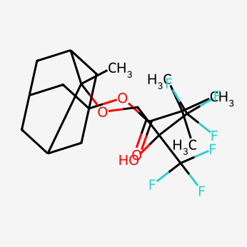 CC(C)(C)C(=O)OC12CC3CC(C1)C(C)(OCC(O)(C(F)(F)F)C(F)(F)F)C(C3)C2